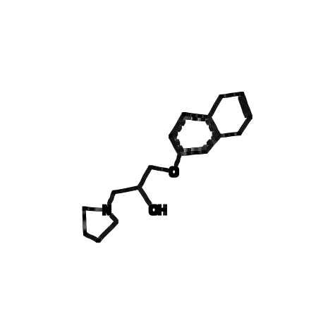 OC(COc1ccc2c(c1)CC=CC2)CN1CCCC1